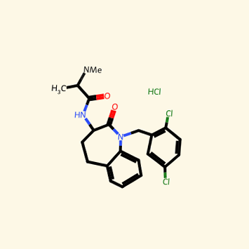 CNC(C)C(=O)NC1CCc2ccccc2N(Cc2cc(Cl)ccc2Cl)C1=O.Cl